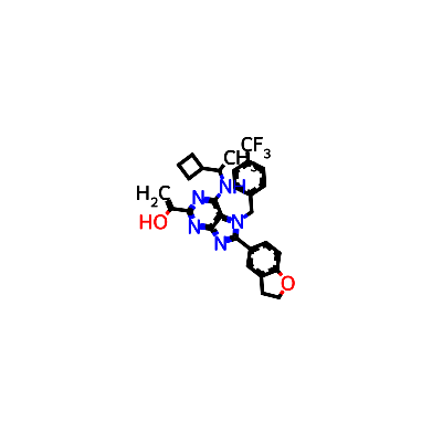 C=C(O)c1nc(NC(C)C2CCC2)c2c(n1)nc(-c1ccc3c(c1)CCO3)n2Cc1ccc(C(F)(F)F)cc1